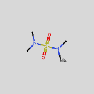 CCCCN(C)S(=O)(=O)N(C)C